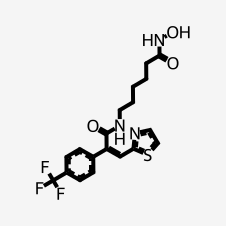 O=C(CCCCCNC(=O)C(=Cc1nccs1)c1ccc(C(F)(F)F)cc1)NO